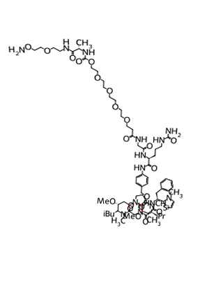 CC[C@H](C)C([C@@H](CC(=O)N1CCC[C@H]1[C@H](OC)[C@@H](C)C(=O)N[C@@H](Cc1ccccc1)C1SC=CN1C)OC)N(C)C(=O)CNC(=O)[C@H](C(C)C)N(C)C(=O)OCc1ccc(NC(=O)[C@H](CCCNC(N)=O)NC(=O)CNC(=O)CCOCCOCCOCCOCCOC(=O)N[C@@H](C)C(=O)NCCOCCON)cc1